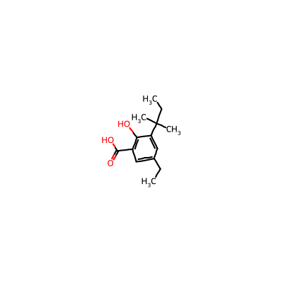 CCc1cc(C(=O)O)c(O)c(C(C)(C)CC)c1